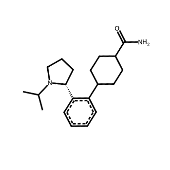 CC(C)N1CCC[C@@H]1c1ccccc1C1CCC(C(N)=O)CC1